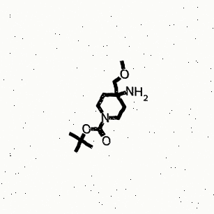 COCC1(N)CCN(C(=O)OC(C)(C)C)CC1